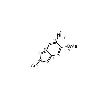 COc1cc2cn(C(C)=O)cc2cc1N